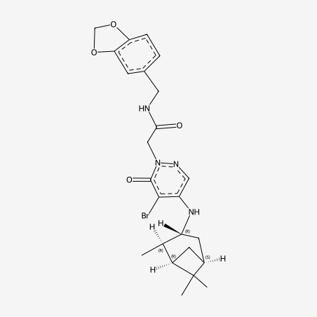 C[C@@H]1[C@H]2C[C@@H](C[C@H]1Nc1cnn(CC(=O)NCc3ccc4c(c3)OCO4)c(=O)c1Br)C2(C)C